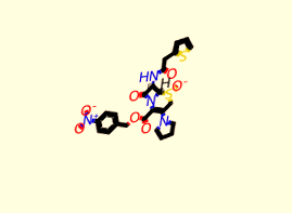 O=C(Cc1cccs1)N[C@@H]1C(=O)N2C(C(=O)OCc3ccc([N+](=O)[O-])cc3)=C(N3CCCC3)C[S+]([O-])[C@@H]12